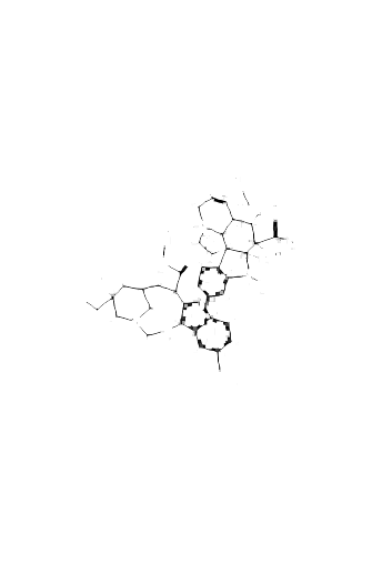 CC[C@]1(O)C[C@@H]2CN(CCc3c([nH]c4ccc(C)cc34)[C@@](C(=O)OC)(c3cc4c(cc3OC)N(C)[C@H]3[C@@](O)(C(N)=O)[C@H](O)[C@]5(CC)C=CCN6CC[C@]43[C@@H]65)C2)C1